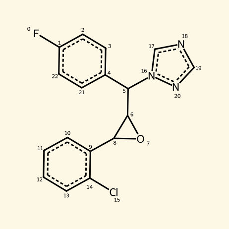 Fc1ccc(C(C2OC2c2ccccc2Cl)n2cncn2)cc1